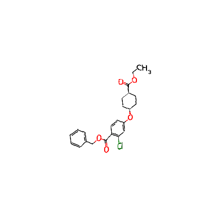 CCOC(=O)[C@H]1CC[C@@H](Oc2ccc(C(=O)OCc3ccccc3)c(Cl)c2)CC1